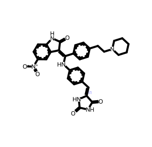 O=C1NC(=O)/C(=C/c2ccc(NC(=C3C(=O)Nc4ccc([N+](=O)[O-])cc43)c3ccc(CCN4CCCCC4)cc3)cc2)N1